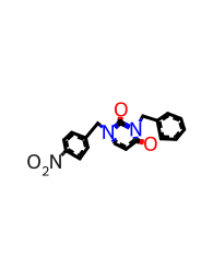 O=c1ccn(Cc2ccc([N+](=O)[O-])cc2)c(=O)n1Cc1ccccc1